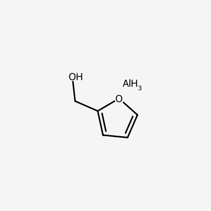 OCc1ccco1.[AlH3]